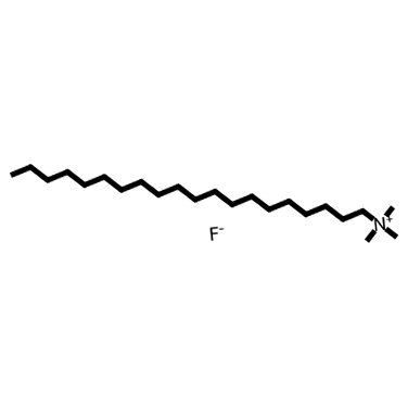 CCCCCCCCCCCCCCCCCCCC[N+](C)(C)C.[F-]